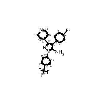 Nc1c(-c2ccc(F)cc2)c(-c2ccncc2)nn1-c1ccc(C(F)(F)F)cc1